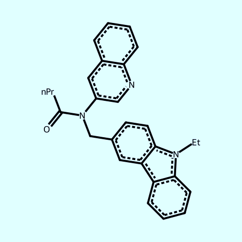 CCCC(=O)N(Cc1ccc2c(c1)c1ccccc1n2CC)c1cnc2ccccc2c1